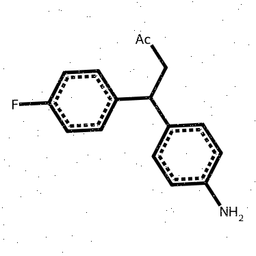 CC(=O)CC(c1ccc(N)cc1)c1ccc(F)cc1